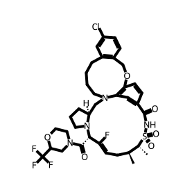 C[C@@H]1[C@@H](C)C/C=C(\F)[C@H](C(=O)N2CCOC(C(F)(F)F)C2)N2CCC[C@H]2CN2CCCCc3cc(Cl)ccc3COc3ccc(cc32)C(=O)NS1(=O)=O